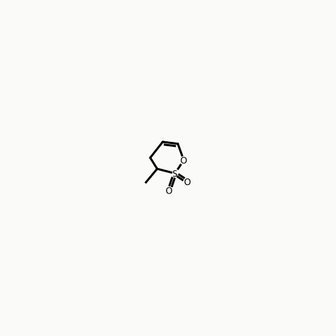 CC1CC=COS1(=O)=O